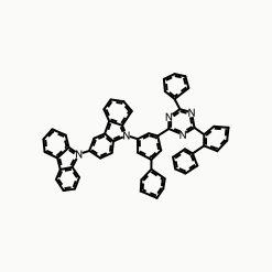 c1ccc(-c2cc(-c3nc(-c4ccccc4)nc(-c4ccccc4-c4ccccc4)n3)cc(-n3c4ccccc4c4cc(-n5c6ccccc6c6ccccc65)ccc43)c2)cc1